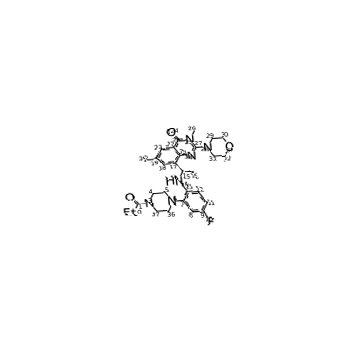 CCC(=O)N1CCN(c2cc(F)ccc2N[C@H](C)c2cc(C)cc3c(=O)n(C)c(N4CCOCC4)nc23)CC1